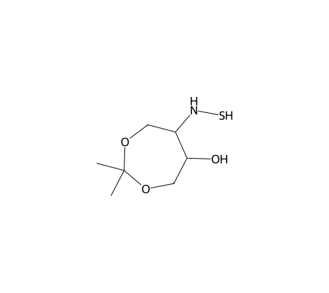 CC1(C)OCC(O)C(NS)CO1